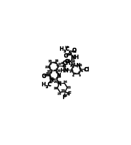 C[C@@H](Nc1ccc(Cl)nc1C(=O)NS(C)(=O)=O)c1cccc2c(=O)n(C)c(N3CCC(F)(F)CC3)nc12